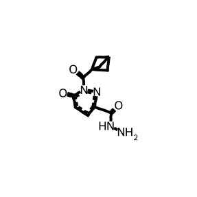 NNC(=O)c1ccc(=O)n(C(=O)C23CC(C2)C3)n1